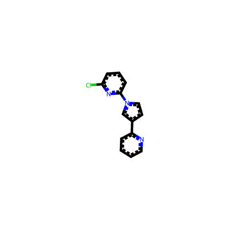 Clc1cccc(-n2ccc(-c3ccccn3)c2)n1